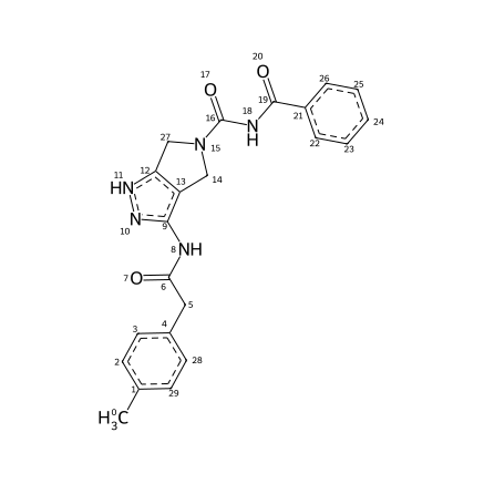 Cc1ccc(CC(=O)Nc2n[nH]c3c2CN(C(=O)NC(=O)c2ccccc2)C3)cc1